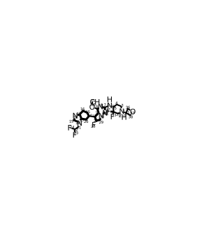 [2H]C1(N2CC[C@@H](Nc3nc(OC)c4c(-c5ccc6ncn(CC(F)F)c6c5)c(F)cn4n3)C(F)(F)C2)COC1